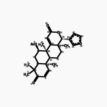 CC(=O)O[C@@H]1CC2C(C)(C)C(=O)C=C[C@]2(C)C2CC[C@@]3(C)C(=CC(=O)O[C@@H]3c3ccoc3)[C@@]21C